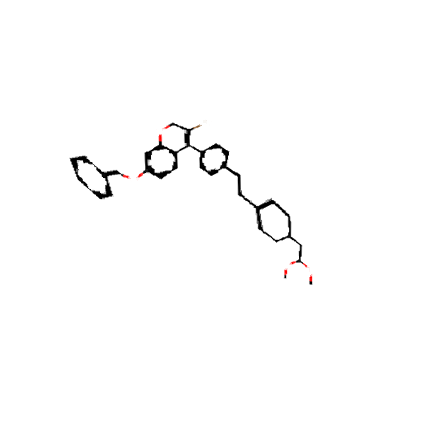 COC(CC1CCC(CCc2ccc(C3=C(Br)COc4cc(OCc5ccccc5)ccc43)cc2)CC1)OC